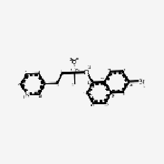 [2H][C@](C)(CCc1cccnc1)Oc1cccc2cc(Br)ccc12